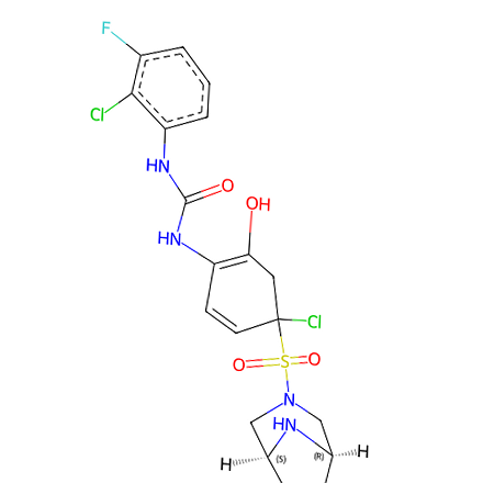 O=C(NC1=C(O)CC(Cl)(S(=O)(=O)N2C[C@H]3CC[C@@H](C2)N3)C=C1)Nc1cccc(F)c1Cl